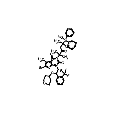 Cc1c(Br)sc2c1c(=O)n(C(C)(C)C(=O)CC(C)(C)[Si](O)(c1ccccc1)c1ccccc1)c(=O)n2CC(OC1CCOCC1)c1ccccc1C(F)(F)F